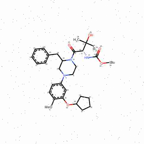 COc1ccc(N2CCN(C(=O)[C@@H](NC(=O)OC(C)(C)C)C(C)(C)O)C(Cc3ccccc3)C2)cc1OC1CCCC1